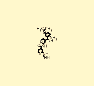 CC(C)Oc1ccc(N)c(C(=N)c2ccnc(NC(=O)c3ccnc(NC=N)c3)c2)c1